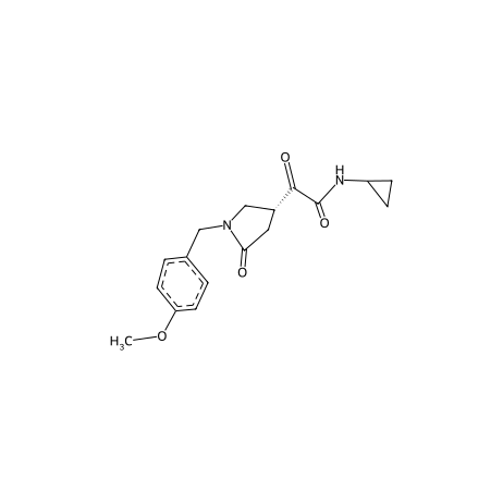 COc1ccc(CN2C[C@H](C(=O)C(=O)NC3CC3)CC2=O)cc1